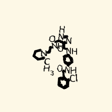 CC1CCCCN1CCNC(=O)c1[nH]cnc1C(=O)Nc1ccc(NC(=O)c2ccccc2Cl)cc1